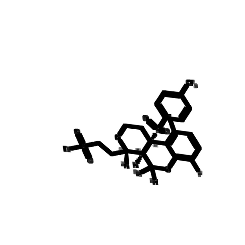 [2H]C1([2H])Oc2c(F)ccc(F)c2[C@]2(S(=O)(=O)c3ccc(C(F)(F)F)cc3)CCO[C@@]([2H])(CCS(=O)(=O)CC)[C@H]12